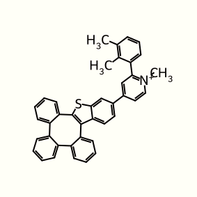 Cc1cccc(-c2cc(-c3ccc4c5c(sc4c3)-c3ccccc3-c3ccccc3-c3ccccc3-5)cc[n+]2C)c1C